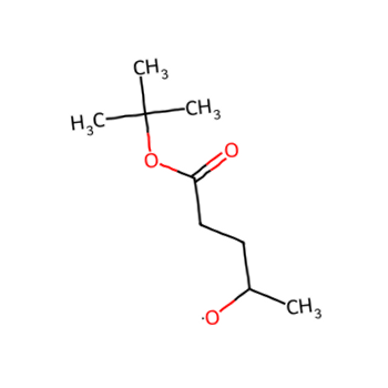 CC([O])CCC(=O)OC(C)(C)C